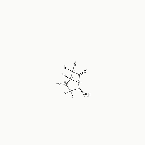 CC1(C)[C@H](C(=O)O)N2C(=O)C(Br)(Br)[C@H]2[S+]1[O-]